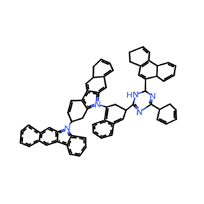 C1=CCC2C=c3c4c(n(C5=c6ccccc6=CC(C6=NC(C7C=CC=CC7)=NC(C7=CC8=C(C=CCC8)C8C=CC=CC78)N6)C5)c3=CC2=C1)CC(n1c2ccccc2c2cc3ccccc3cc21)C=C4